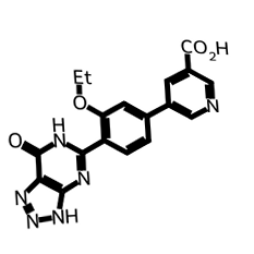 CCOc1cc(-c2cncc(C(=O)O)c2)ccc1-c1nc2[nH]nnc2c(=O)[nH]1